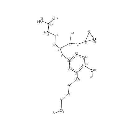 COCCCOc1cc(CC(CCNC(=O)O)C(C)CC2CO2)ccc1OC